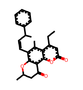 CCc1cc(=O)oc2c3c(c(/C=C\C(C)c4ccccc4)c(C)c12)OC(C)CC3=O